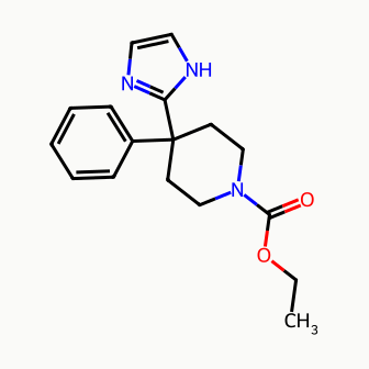 CCOC(=O)N1CCC(c2ccccc2)(c2ncc[nH]2)CC1